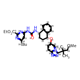 CCOC(=O)c1nc(NC(=O)N[C@H]2CC[C@@H](Oc3ccc4nnc(C(C)(C)COC)n4c3)c3ccccc32)cc(C(C)(C)C)n1